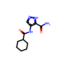 NC(=O)c1[nH]ncc1NC(=O)C1CCCCC1